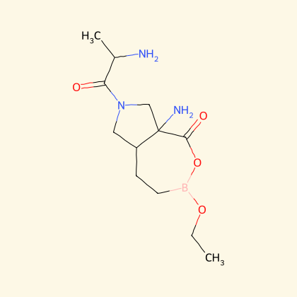 CCOB1CCC2CN(C(=O)C(C)N)CC2(N)C(=O)O1